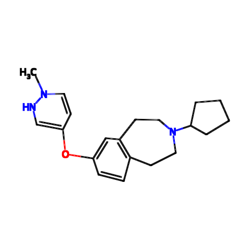 CN1C=CC(Oc2ccc3c(c2)CCN(C2CCCC2)CC3)=CN1